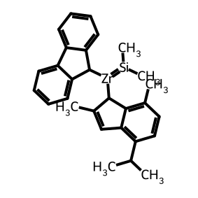 CC1=Cc2c(C(C)C)ccc(C)c2[CH]1[Zr]([CH]1c2ccccc2-c2ccccc21)=[Si](C)C